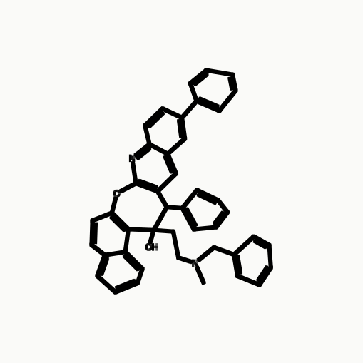 CN(CCC1(O)c2c(ccc3ccccc23)Oc2nc3ccc(-c4ccccc4)cc3cc2C1c1ccccc1)Cc1ccccc1